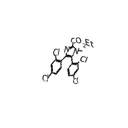 CCOC(=O)c1nc(-c2ccc(Cl)cc2Cl)c(-c2ccc(Cl)cc2Cl)n1C